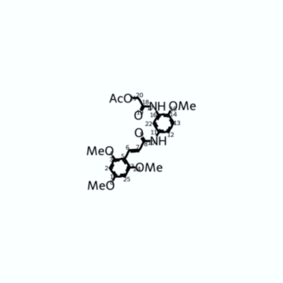 COc1cc(OC)c(C=CC(=O)Nc2ccc(OC)c(NC(=O)COC(C)=O)c2)c(OC)c1